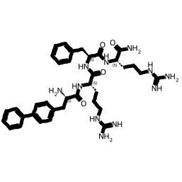 N=C(N)NCCC[C@H](NC(=O)[C@H](Cc1ccccc1)NC(=O)[C@H](CCCNC(=N)N)NC(=O)[C@@H](N)Cc1ccc(-c2ccccc2)cc1)C(N)=O